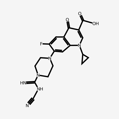 N#CNC(=N)N1CCN(c2cc3c(cc2F)c(=O)c(C(=O)O)cn3C2CC2)CC1